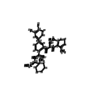 Cc1cccc(C)c1NC(=O)Nc1cc(-c2ccc(F)c(F)c2)ccc1C(=O)N[C@H](C(=O)O)C1(C)CCCCC1